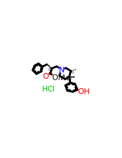 COC(=O)[C@@H](Cc1ccccc1)CN1CC[C@@](C)(c2cccc(O)c2)[C@@H](C)C1.Cl